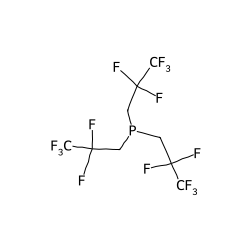 FC(F)(F)C(F)(F)CP(CC(F)(F)C(F)(F)F)CC(F)(F)C(F)(F)F